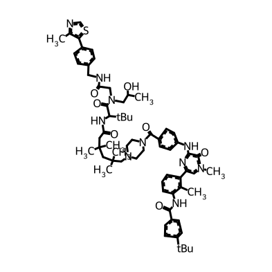 Cc1ncsc1-c1ccc(CNC(=O)CN(CC(C)O)C(=O)C(NC(=O)CC(C)(C)CC(C)(C)CN2CCN(C(=O)c3ccc(Nc4nc(-c5cccc(NC(=O)c6ccc(C(C)(C)C)cc6)c5C)cn(C)c4=O)cc3)CC2)C(C)(C)C)cc1